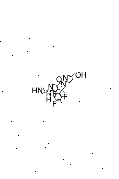 Cc1c(F)ccc(C2(C)CN(c3ccc(CO)cn3)C(=O)c3cnc(NC4CNC4)c(F)c32)c1F